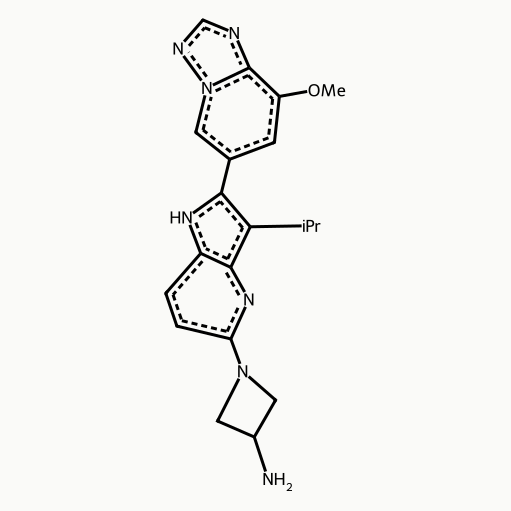 COc1cc(-c2[nH]c3ccc(N4CC(N)C4)nc3c2C(C)C)cn2ncnc12